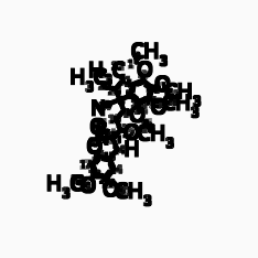 CCOc1cc(C(C#N)(CCC(O)C(Cc2ccc(OC)c(OC)c2)[N+](=O)[O-])C(CC)CC)c(OCC)c(OC)c1OC